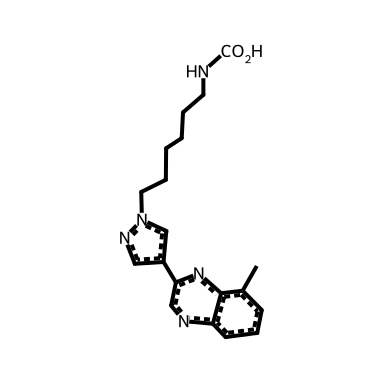 Cc1cccc2ncc(-c3cnn(CCCCCCNC(=O)O)c3)nc12